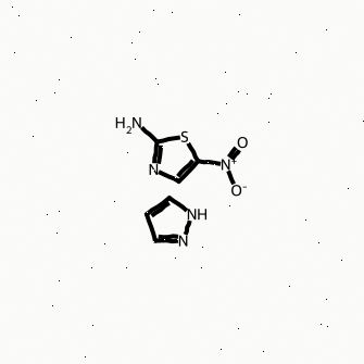 Nc1ncc([N+](=O)[O-])s1.c1cn[nH]c1